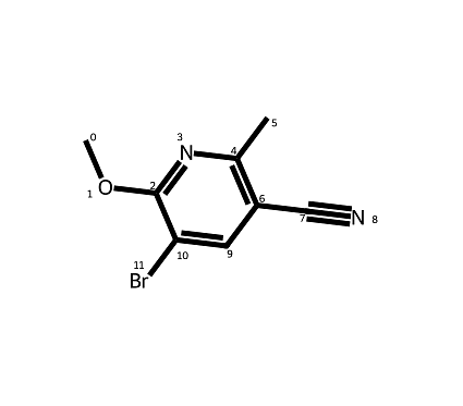 COc1nc(C)c(C#N)cc1Br